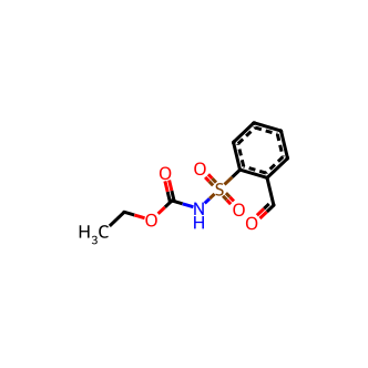 CCOC(=O)NS(=O)(=O)c1ccccc1C=O